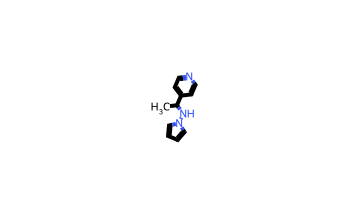 CC(Nn1cccc1)c1ccncc1